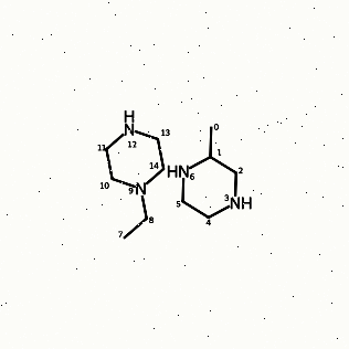 CC1CNCCN1.CCN1CCNCC1